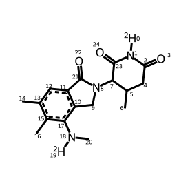 [2H]N1C(=O)CC(C)C(N2Cc3c(cc(C)c(C)c3N([2H])C)C2=O)C1=O